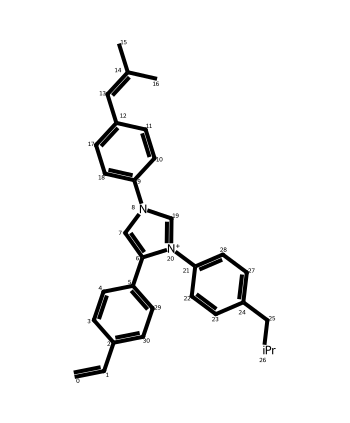 C=Cc1ccc(-c2cn(-c3ccc(C=C(C)C)cc3)c[n+]2-c2ccc(CC(C)C)cc2)cc1